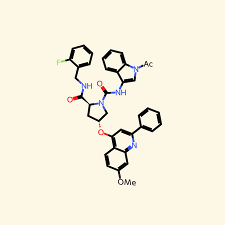 COc1ccc2c(O[C@@H]3C[C@@H](C(=O)NCc4ccccc4F)N(C(=O)Nc4cn(C(C)=O)c5ccccc45)C3)cc(-c3ccccc3)nc2c1